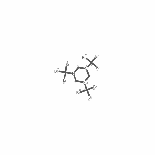 BrC(Br)(Br)N1CN(C(Br)(Br)Br)CN(C(Br)(Br)Br)C1